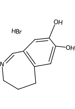 Br.Oc1cc2c(cc1O)CCCN=C2